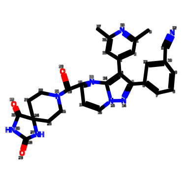 Cc1cc(-c2c(-c3cccc(C#N)c3)nn3ccc(C(=O)N4CCC5(CC4)NC(=O)NC5=O)nc23)cc(C)n1